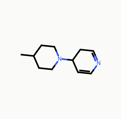 CC1CCN(C2C=CN=CC2)CC1